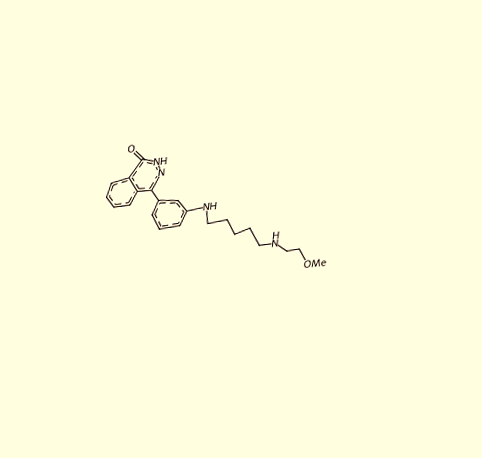 COCCNCCCCCNc1cccc(-c2n[nH]c(=O)c3ccccc23)c1